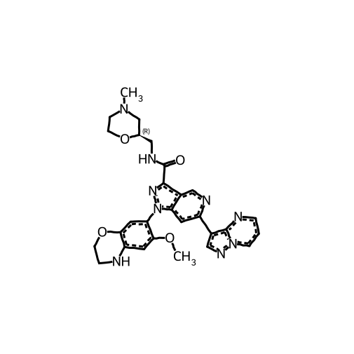 COc1cc2c(cc1-n1nc(C(=O)NC[C@@H]3CN(C)CCO3)c3cnc(-c4cnn5cccnc45)cc31)OCCN2